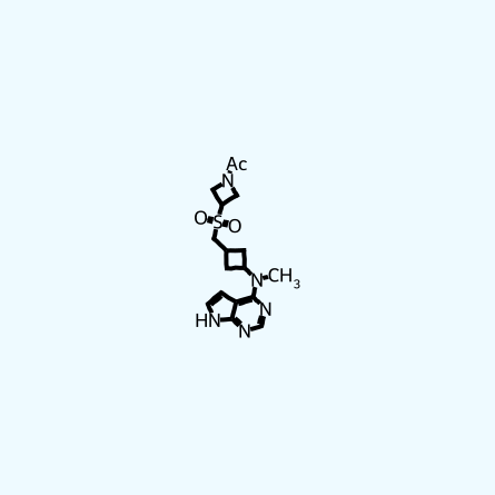 CC(=O)N1CC(S(=O)(=O)CC2CC(N(C)c3ncnc4[nH]ccc34)C2)C1